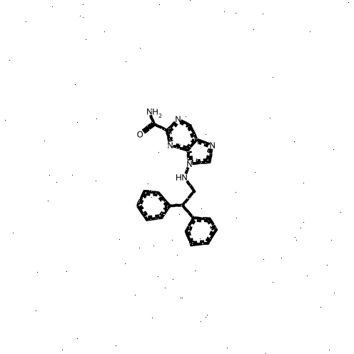 NC(=O)c1ncc2ncn(NCC(c3ccccc3)c3ccccc3)c2n1